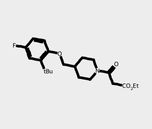 CCOC(=O)CC(=O)N1CCC(COc2ccc(F)cc2C(C)(C)C)CC1